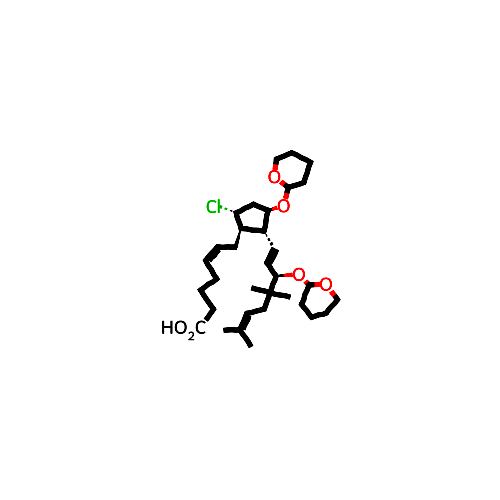 CC(C)=CCC(C)(C)[C@@H](/C=C/[C@@H]1[C@@H](C/C=C\CCCC(=O)O)[C@H](Cl)C[C@H]1OC1CCCCO1)OC1CCCCO1